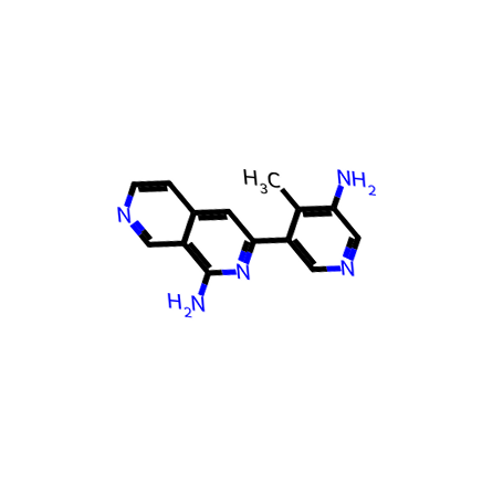 Cc1c(N)cncc1-c1cc2ccncc2c(N)n1